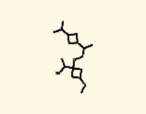 CSC1CC(OCC(C)N2CC(C(C)C)C2)(C(C)S)C1